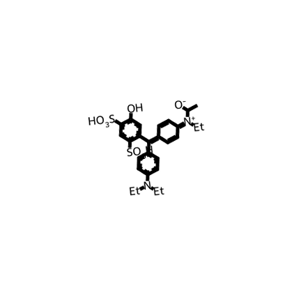 CCN(CC)c1ccc(C(=C2C=CC(=[N+](CC)C(C)[O-])C=C2)c2cc(O)c(S(=O)(=O)O)cc2S(=O)(=O)O)cc1